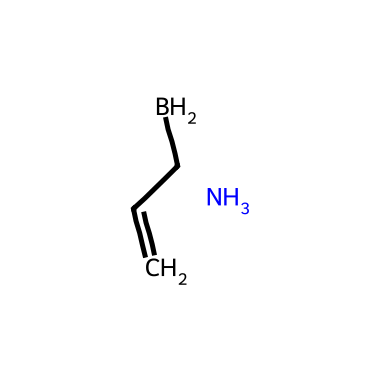 BCC=C.N